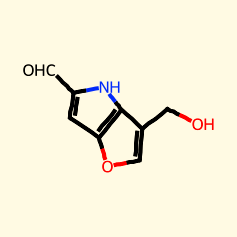 O=Cc1cc2occ(CO)c2[nH]1